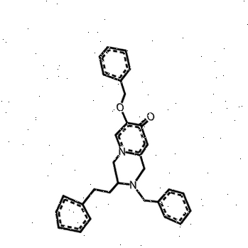 O=c1cc2n(cc1OCc1ccccc1)CC(CCc1ccccc1)N(Cc1ccccc1)C2